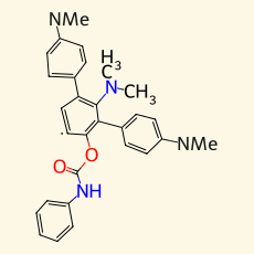 CNc1ccc(-c2c[c]c(OC(=O)Nc3ccccc3)c(-c3ccc(NC)cc3)c2N(C)C)cc1